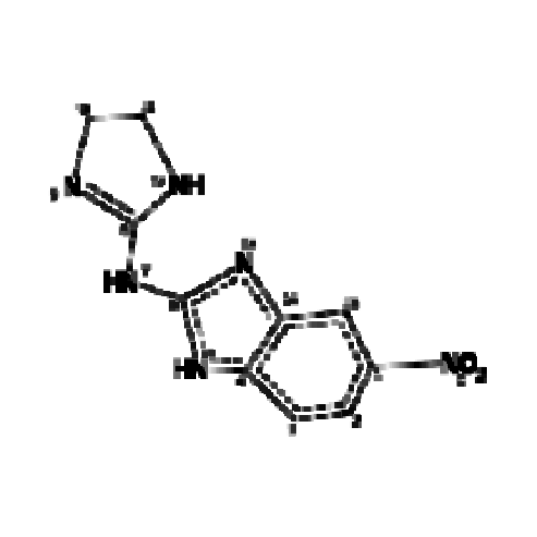 O=[N+]([O-])c1ccc2[nH]c(NC3=NCCN3)nc2c1